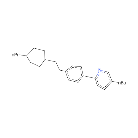 CCCCc1ccc(-c2ccc(CCC3CCC(CCC)CC3)cc2)nc1